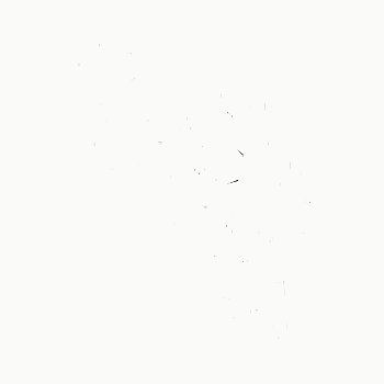 C=CCCN(C(=O)[C@H](CC=C)N(C)C(=O)OCC1c2ccccc2-c2ccccc21)[C@@H](CC1CCCCC1)C(=O)N(C)CC(=O)OC(C)(C)C